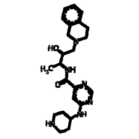 CC(NC(=O)c1cc(NC2CCNCC2)ncn1)C(O)CN1CCc2ccccc2C1